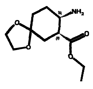 CCOC(=O)[C@@H]1CC2(CC[C@@H]1N)OCCO2